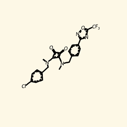 CN(Cc1ccc(Cl)cc1)c1c(N(C)Cc2ccc(-c3noc(C(F)(F)F)n3)cc2)c(=O)c1=O